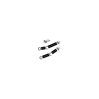 [N-]=C=O.[N-]=C=O.[Ni+2]